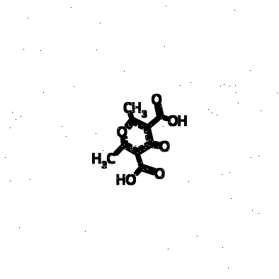 Cc1oc(C)c(C(=O)O)c(=O)c1C(=O)O